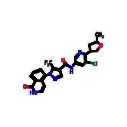 CC1CC(c2ncc(NC(=O)c3cnn(-c4cccc5c(=O)[nH]ccc45)c3C(F)(F)F)cc2Cl)CO1